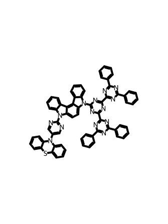 c1ccc(-c2nc(-c3ccccc3)nc(-c3nc(-c4nc(-c5ccccc5)nc(-c5ccccc5)n4)nc(-n4c5ccccc5c5c6c7ccccc7n(-c7ncc(N8c9ccccc9Sc9ccccc98)cn7)c6ccc54)n3)n2)cc1